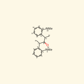 CNc1ccccc1C(C)C(=O)C(C)c1ccccc1NC